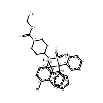 CCOC(=O)N1CCC(N(c2ccc(Br)c3ccccc23)S(=N)(=O)[Si](c2ccccc2)(c2ccccc2)C(C)(C)C)CC1